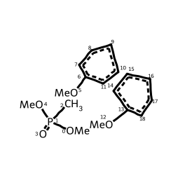 COP(C)(=O)OC.COc1ccccc1.COc1ccccc1